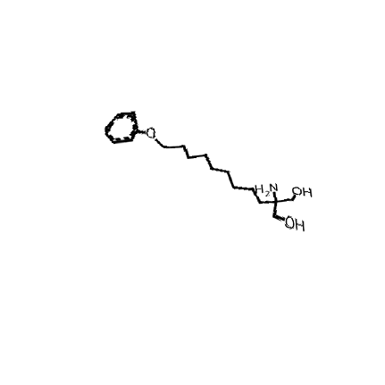 NC(CO)(CO)CCCCCCCCCOc1ccccc1